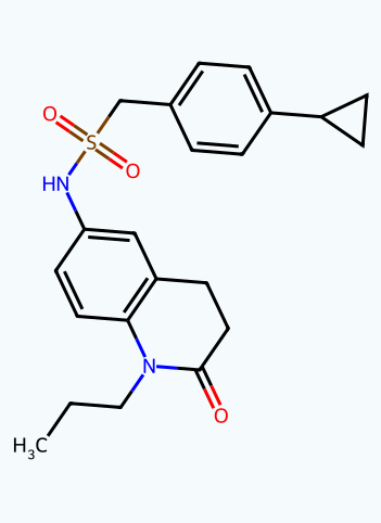 CCCN1C(=O)CCc2cc(NS(=O)(=O)Cc3ccc(C4CC4)cc3)ccc21